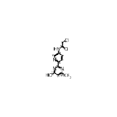 O=C(CCl)Nc1ccc(-c2nc(O)cc(C(F)(F)F)n2)nc1